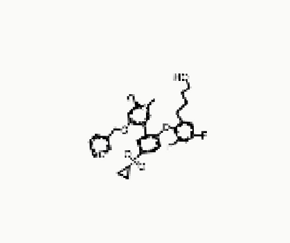 Cn1cc(-c2cc(S(=O)(=O)C3CC3)ccc2Oc2c(F)cc(F)cc2CCCCO)c(OCc2ccccc2)cc1=O